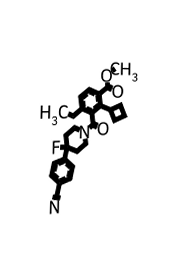 CCc1ccc(C(=O)OC)c(C2CCC2)c1C(=O)N1CCC(F)(c2ccc(C#N)cc2)CC1